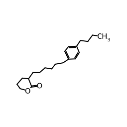 CCCCc1ccc(CCCCCCC2CCCOC2=O)cc1